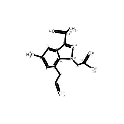 C=CCc1cc(C)cc2c(C(C)=O)nn(CC(=O)O)c12